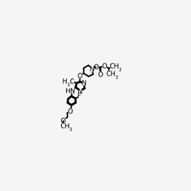 COCCOc1ccc(Nc2ncnc(OC3CCN(OC(=O)OC(C)C)CC3)c2C)c(F)c1